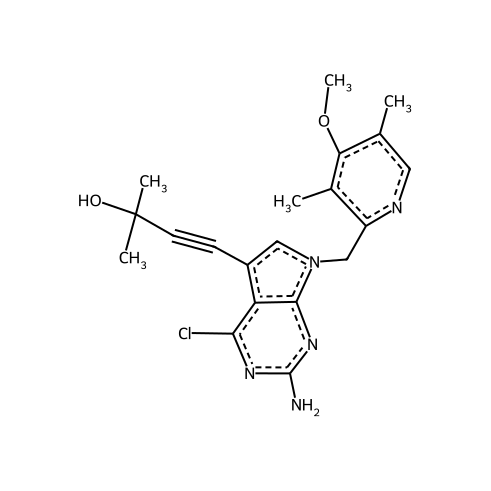 COc1c(C)cnc(Cn2cc(C#CC(C)(C)O)c3c(Cl)nc(N)nc32)c1C